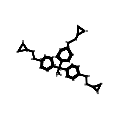 CC(c1ccc(OCC2CS2)cc1)(c1ccc(OCC2CS2)cc1)c1ccc(OCC2CS2)cc1